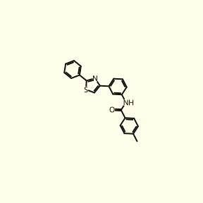 Cc1ccc(C(=O)Nc2cccc(-c3csc(-c4ccccc4)n3)c2)cc1